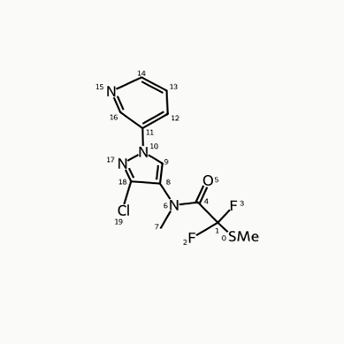 CSC(F)(F)C(=O)N(C)c1cn(-c2cccnc2)nc1Cl